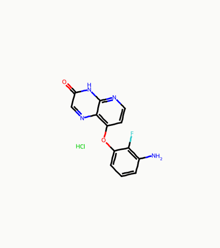 Cl.Nc1cccc(Oc2ccnc3[nH]c(=O)cnc23)c1F